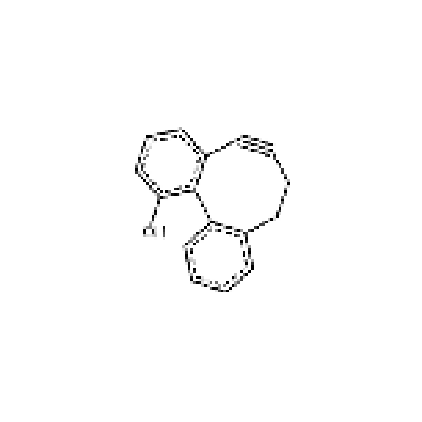 Oc1cccc2c1-c1ccccc1CCC#C2